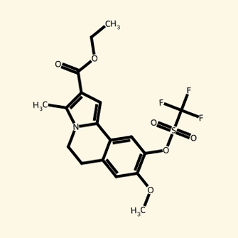 CCOC(=O)c1cc2n(c1C)CCc1cc(OC)c(OS(=O)(=O)C(F)(F)F)cc1-2